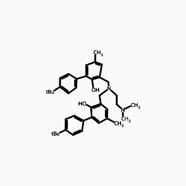 Cc1cc(CN(CCN(C)C)Cc2cc(C)cc(-c3ccc(C(C)(C)C)cc3)c2O)c(O)c(-c2ccc(C(C)(C)C)cc2)c1